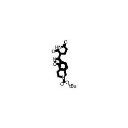 CC(C)(C)OC(=O)N1CCc2c(ccc3c(C4CCC(=O)NC4=O)noc23)C1